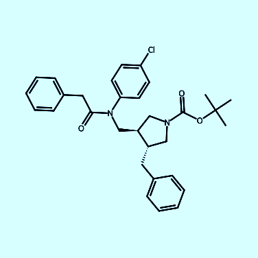 CC(C)(C)OC(=O)N1C[C@H](CN(C(=O)Cc2ccccc2)c2ccc(Cl)cc2)[C@@H](Cc2ccccc2)C1